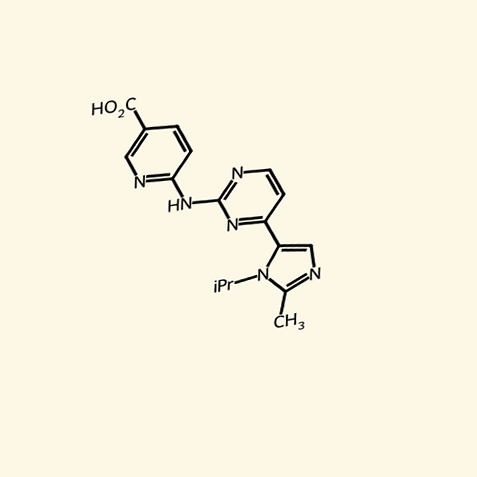 Cc1ncc(-c2ccnc(Nc3ccc(C(=O)O)cn3)n2)n1C(C)C